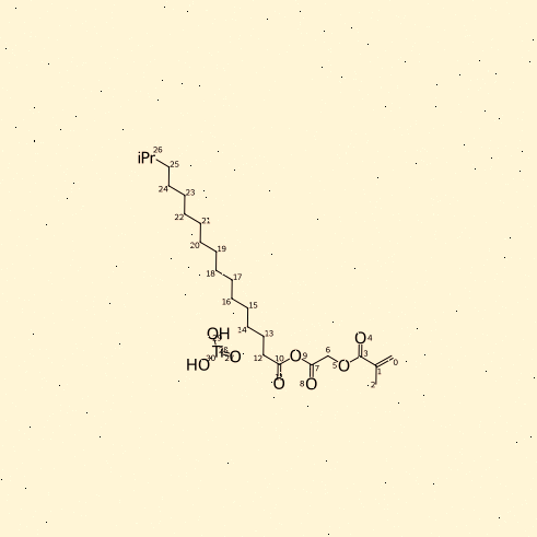 C=C(C)C(=O)OCC(=O)OC(=O)CCCCCCCCCCCCCCC(C)C.[O]=[Ti]([OH])[OH]